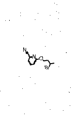 CC(Br)CCOc1cccc(C#N)n1